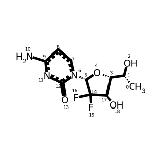 C[C@@H](O)[C@H]1O[C@@H](n2ccc(N)nc2=O)C(F)(F)[C@@H]1O